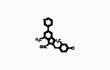 Cc1cc(Cl)ccc1Cn1cc2cc(-c3cccnc3)cc(C)c2c1C=O